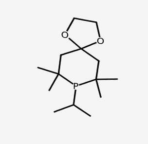 CC(C)P1C(C)(C)CC2(CC1(C)C)OCCO2